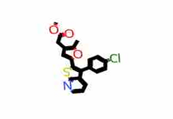 COC(=O)Cc1cc(-c2sc3ncccc3c2-c2ccc(Cl)cc2)oc1C